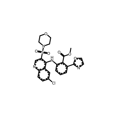 COC(=O)c1c(Nc2c(S(=O)(=O)N3CCOCC3)cnc3ccc(Cl)cc23)cccc1-c1ncco1